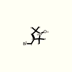 CC1(C)C=C(CBr)C(C)(C)N1[O]